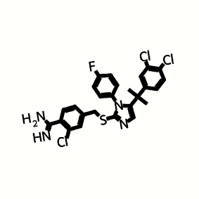 CC(C)(c1ccc(Cl)c(Cl)c1)c1cnc(SCc2ccc(C(=N)N)c(Cl)c2)n1-c1ccc(F)cc1